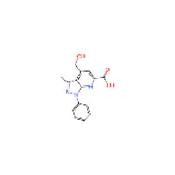 Cc1nn(-c2ccccc2)c2nc(C(=O)O)cc(CO)c12